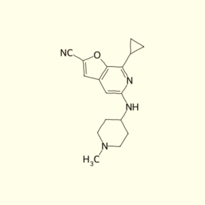 CN1CCC(Nc2cc3cc(C#N)oc3c(C3CC3)n2)CC1